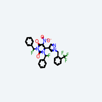 O=c1c([N+](=O)[O-])c(-c2cnn(Cc3ccccc3C(F)(F)F)c2)n(C(F)c2ccccc2)c(=O)n1C(F)c1ccccc1